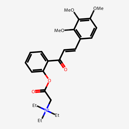 CC[N+](CC)(CC)CC(=O)Oc1ccccc1C(=O)C=Cc1ccc(OC)c(OC)c1OC